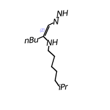 CCCC/C(=C/N=N)NCCCCCC(C)C